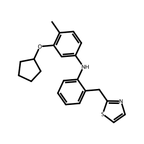 Cc1ccc(Nc2ccccc2Cc2nccs2)cc1OC1CCCC1